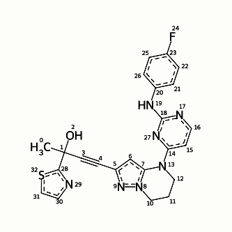 CC(O)(C#Cc1cc2n(n1)CCCN2c1ccnc(Nc2ccc(F)cc2)n1)c1nccs1